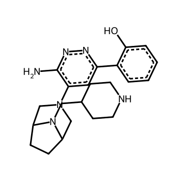 Nc1nnc(-c2ccccc2O)cc1N1CC2CCC(C1)N2CC1CCNCC1